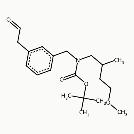 COCCC(C)CN(Cc1cccc(CC=O)c1)C(=O)OC(C)(C)C